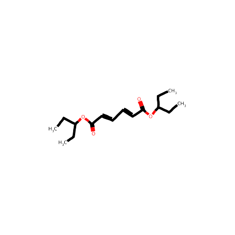 CCC(CC)OC(=O)/C=C/C=C/C(=O)OC(CC)CC